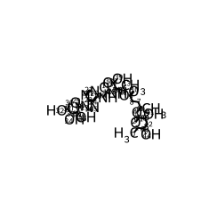 CC1O[C@@H](O[C@H](C)CCC(=O)O[C@H](C)[C@H](NC(=O)Nc2ncnc3c2ncn3[C@@H]2OC[C@@H](O)C(O)[C@@H]2O)C(=O)O)[C@@H](O)C[C@H]1O